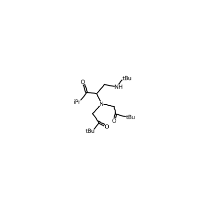 CC(C)C(=O)C(CNC(C)(C)C)N(CC(=O)C(C)(C)C)CC(=O)C(C)(C)C